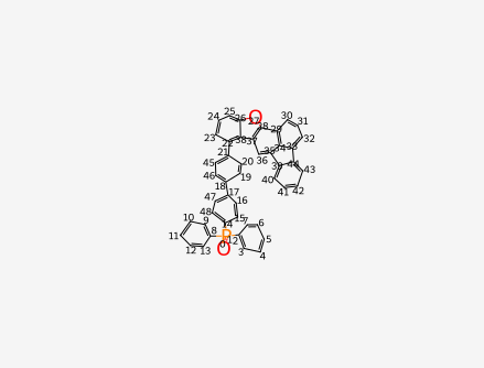 O=P(c1ccccc1)(c1ccccc1)c1ccc(-c2ccc(-c3cccc4oc5c6cccc7c6c(cc5c34)-c3ccccc3-7)cc2)cc1